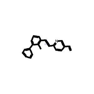 C=Cc1ccc(/C=C/c2cccc(-c3ccccc3)c2C)nc1